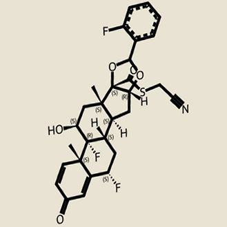 C[C@]12C=CC(=O)C=C1[C@@H](F)C[C@H]1[C@@H]3C[C@H]4OC(c5ccccc5F)O[C@@]4(C(=O)SCC#N)[C@@]3(C)C[C@H](O)[C@@]12F